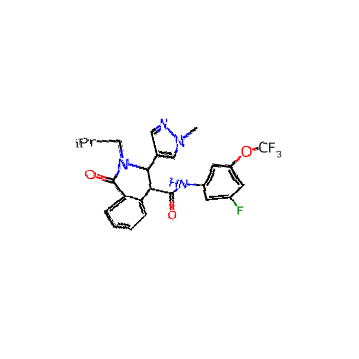 CC(C)CN1C(=O)c2ccccc2C(C(=O)Nc2cc(F)cc(OC(F)(F)F)c2)C1c1cnn(C)c1